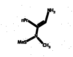 CCC/C(=C\N)N(C)SC